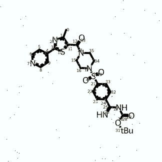 Cc1nc(-c2ccncc2)sc1C(=O)N1CCN(S(=O)(=O)c2ccc(C(=N)NC(=O)OC(C)(C)C)cc2)CC1